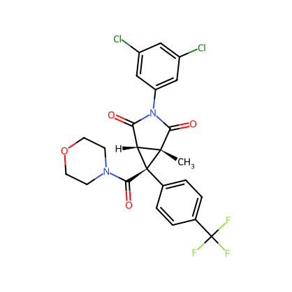 C[C@]12C(=O)N(c3cc(Cl)cc(Cl)c3)C(=O)[C@H]1[C@@]2(C(=O)N1CCOCC1)c1ccc(C(F)(F)F)cc1